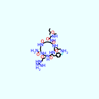 CCCC[C@H](NC(C)=O)C(=O)N[C@H]1CCC(=O)NCC[C@@H](C(N)=O)NC(=O)[C@H](CCCNC(=N)N)NC(=O)C(Cc2ccc(F)cc2)NC(=O)[C@H](CCCN)NC1=O